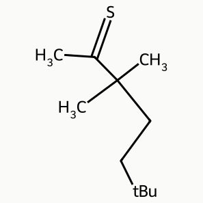 CC(=S)C(C)(C)CCC(C)(C)C